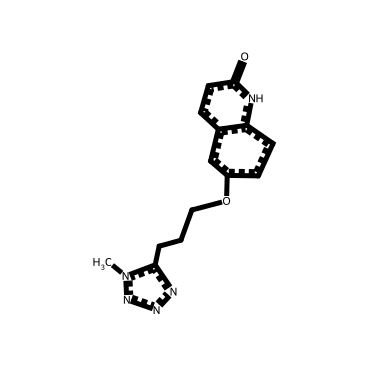 Cn1nnnc1CCCOc1ccc2[nH]c(=O)ccc2c1